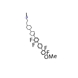 COc1ccc(-c2ccc(-c3ccc(C4=CCC(C5CCC(CC/C=C/I)CC5)CC4)c(F)c3F)cc2)c(F)c1F